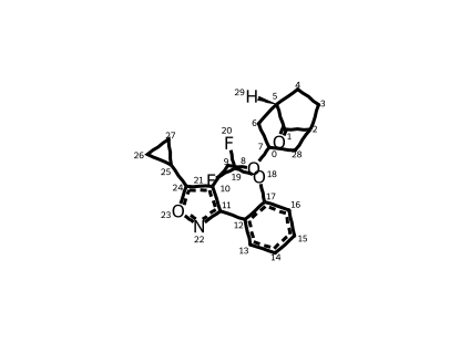 O=C1C2CC[C@H]1CC(OCc1c(-c3ccccc3OC(F)F)noc1C1CC1)C2